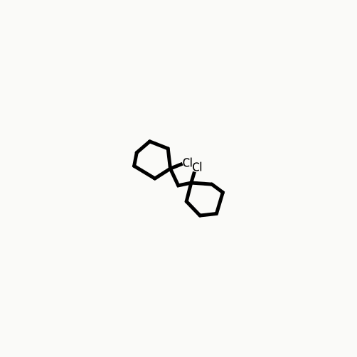 ClC1(CC2(Cl)CCCCC2)CCCCC1